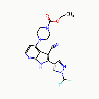 CCOC(=O)N1CCN(c2ccnc3[nH]c(-c4cnn(C(F)F)c4)c(C#N)c23)CC1